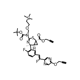 C#CCOC(=O)[C@]12C[C@H]1[C@@](C)(c1cc(/C=C(\F)c3cnc(OCC#C)cn3)ccc1F)N=C(N(COCC[Si](C)(C)C)C(=O)OC(C)(C)C)S2